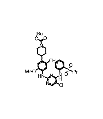 COc1cc(C2CCN(C(=O)OC(C)(C)C)CC2)c(C)cc1Nc1ncc(Cl)c(Nc2ccccc2S(=O)(=O)C(C)C)n1